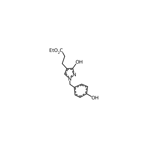 CCOC(=O)CCc1cn(Cc2ccc(O)cc2)nc1O